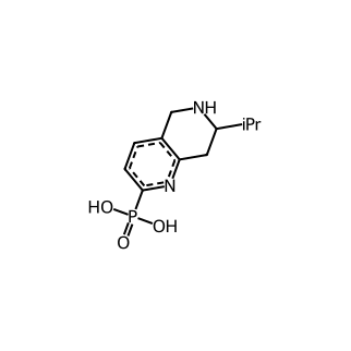 CC(C)C1Cc2nc(P(=O)(O)O)ccc2CN1